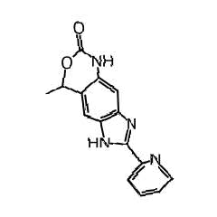 CC1OC(=O)Nc2cc3nc(-c4ccccn4)[nH]c3cc21